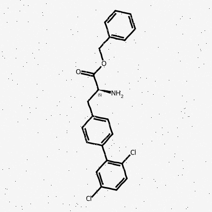 N[C@@H](Cc1ccc(-c2cc(Cl)ccc2Cl)cc1)C(=O)OCc1ccccc1